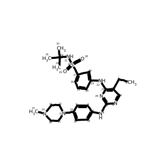 CCc1cnc(Nc2ccc(N3CCN(C)CC3)cc2)nc1Nc1cccc(S(=O)(=O)NC(C)(C)C)c1